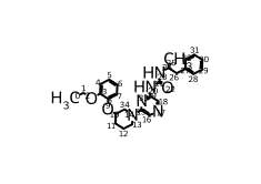 CCOc1ccccc1OC1CCCN(c2cncc(NC(=O)NC(C)Cc3ccccc3)n2)C1